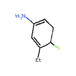 CCC1=CC(N)=CCC1F